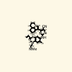 C=CC(=O)Nc1cc(Nc2ncc(C#N)c(-c3cn4c5c(cccc35)CCC4)n2)c(C)cc1N(C)CCNC